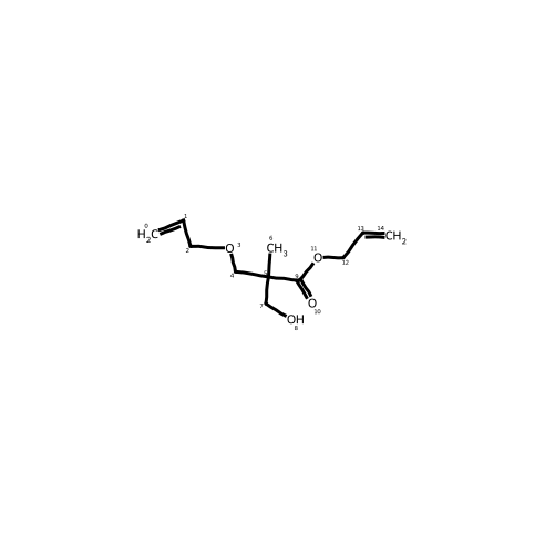 C=CCOCC(C)(CO)C(=O)OCC=C